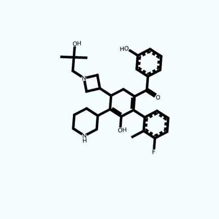 Cc1c(F)cccc1C1=C(C(=O)c2cccc(O)c2)C[C](C2CN(CC(C)(C)O)C2)C(C2CCCNC2)=C1O